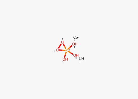 OP1(O)(O)OO1.[Co].[LiH]